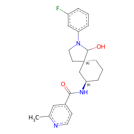 Cc1cc(C(=O)N[C@@H]2CCC[C@@]3(CCN(c4cccc(F)c4)C3O)C2)ccn1